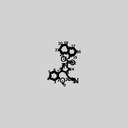 COc1ccccc1C1CN(S(=O)(=O)c2cccc3ccccc23)CC1CC#N